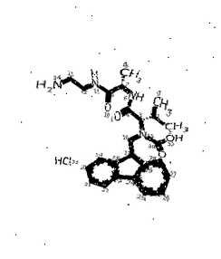 CC(C)[C@@H](C(=O)N[C@@H](C)C(=O)NCCN)N(CC1c2ccccc2-c2ccccc21)C(=O)O.Cl